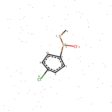 CS[S+]([O-])c1ccc(Cl)cc1